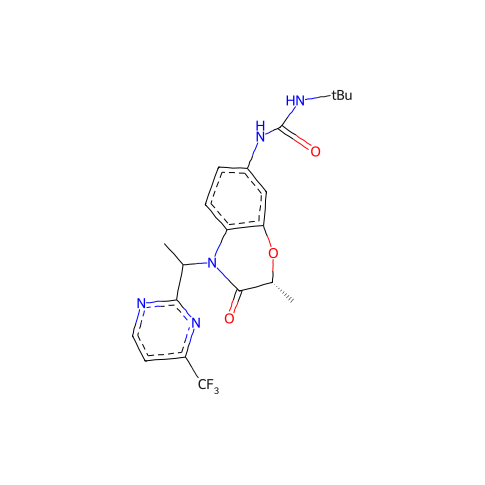 CC(c1nccc(C(F)(F)F)n1)N1C(=O)[C@@H](C)Oc2cc(NC(=O)NC(C)(C)C)ccc21